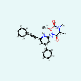 CC(C(=O)Nc1cc(-c2ccccc2)cc(C#Cc2ccccc2)n1)N(C)C(=O)OC(C)(C)C